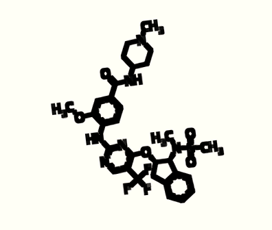 COc1cc(C(=O)NC2CCN(C)CC2)ccc1Nc1ncc(C(F)(F)F)c(O[C@@H]2Cc3ccccc3[C@@H]2N(C)S(C)(=O)=O)n1